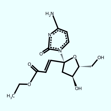 CCOC(=O)C=C[C@]1(n2ccc(N)nc2=O)C[C@H](O)[C@@H](CO)O1